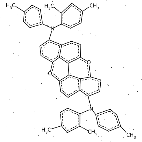 Cc1ccc(N(c2ccc(C)cc2C)c2ccc3oc4ccc5c(N(c6ccc(C)cc6)c6ccc(C)cc6C)ccc6oc7ccc2c3c7-c4c65)cc1